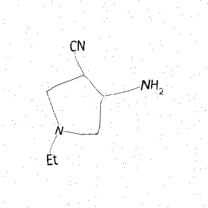 CCN1CC(N)C(C#N)C1